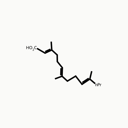 CCCC(C)=CCCC(C)=CCCC(C)=CC(=O)O